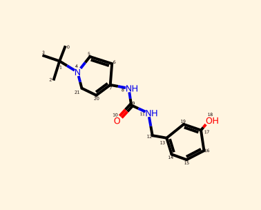 CC(C)(C)N1C=CC(NC(=O)NCc2cccc(O)c2)=CC1